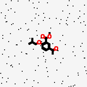 COC(=O)c1cc(C(C)=O)ccc1OCC(C)C